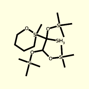 C[Si](C)(C)OC(O[Si](C)(C)C)C([SiH3])(O[Si](C)(C)C)[Si]1(C)CCCCO1